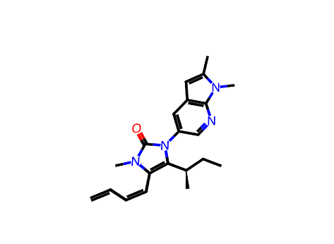 C=C/C=C\c1c([C@H](C)CC)n(-c2cnc3c(c2)cc(C)n3C)c(=O)n1C